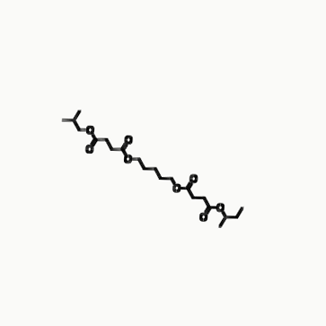 CCC(C)OC(=O)CCC(=O)OCCCCCOC(=O)CCC(=O)OCC(C)C